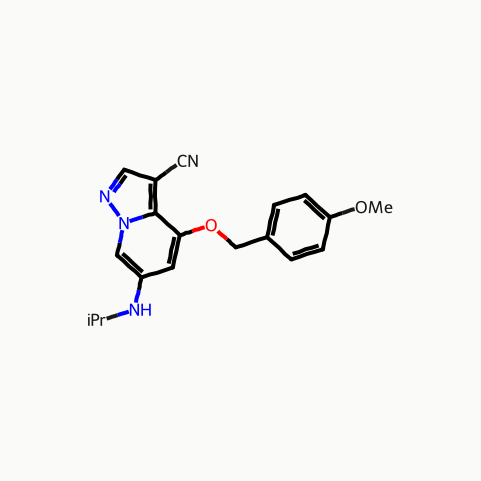 COc1ccc(COc2cc(NC(C)C)cn3ncc(C#N)c23)cc1